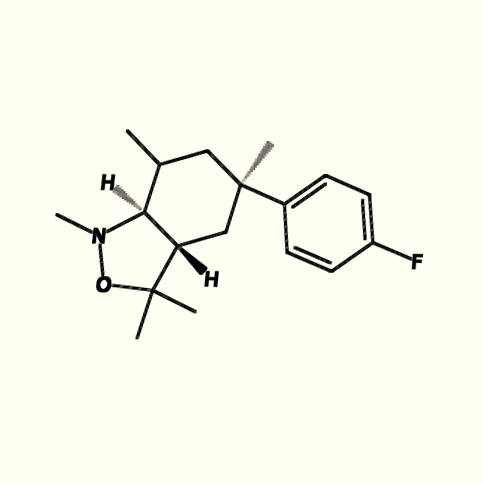 CC1C[C@@](C)(c2ccc(F)cc2)C[C@H]2[C@H]1N(C)OC2(C)C